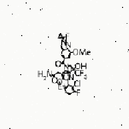 CCOc1c(CC(N)=O)cc([C@@](O)(CNC(=O)c2cc(OC)c3nn(C4(F)CC4)cc3c2)C(F)(F)F)nc1-c1cccc(F)c1Cl